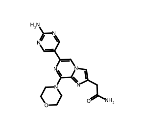 NC(=O)Cc1cn2cc(-c3cnc(N)nc3)nc(N3CCOCC3)c2n1